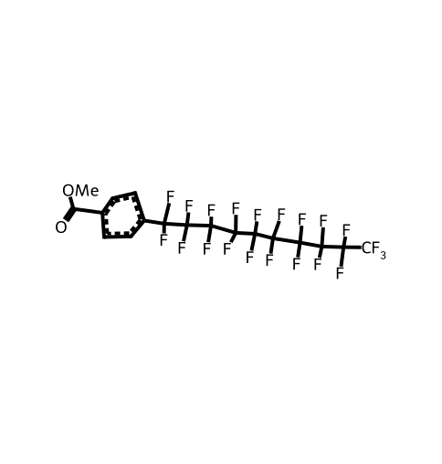 COC(=O)c1ccc(C(F)(F)C(F)(F)C(F)(F)C(F)(F)C(F)(F)C(F)(F)C(F)(F)C(F)(F)C(F)(F)C(F)(F)F)cc1